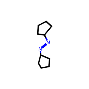 C1CCC(N=NC2CCCC2)C1